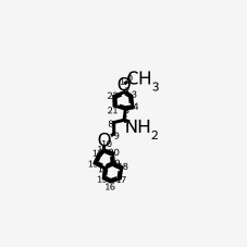 COc1ccc(C(N)CCOc2ccc3ccccc3c2)cc1